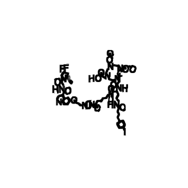 C#C[C@H]1CC(F)(F)CN1C(=O)CNC(=O)c1ccnc2ccc(OCCCN3CCN(C(=O)CCCCCNC(=O)C(CCCNC(=O)CCCc4ccc(I)cc4)NC(=O)CN4CCN(COC=O)CCN(COC=O)CCN(CC(=O)O)CC4)CC3)cc12